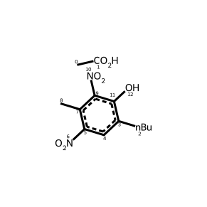 CC(=O)O.CCCCc1cc([N+](=O)[O-])c(C)c([N+](=O)[O-])c1O